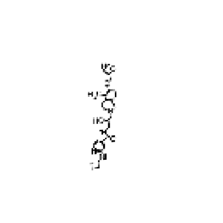 Cc1c(OCc2cnco2)ccc2c1CCN(CC(O)CN(I)C(=O)c1ccnc(NC3CCC3)c1)C2